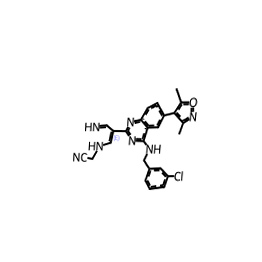 Cc1noc(C)c1-c1ccc2nc(/C(C=N)=C/NCC#N)nc(NCc3cccc(Cl)c3)c2c1